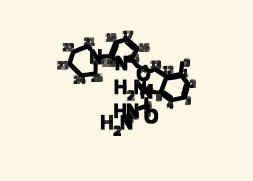 Cc1cccc(N(N)C(=O)NN)c1COc1cccc(N2CCCCC2)n1